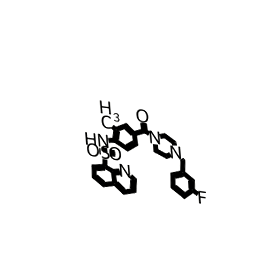 Cc1cc(C(=O)N2CCN(Cc3cccc(F)c3)CC2)ccc1NS(=O)(=O)c1cccc2cccnc12